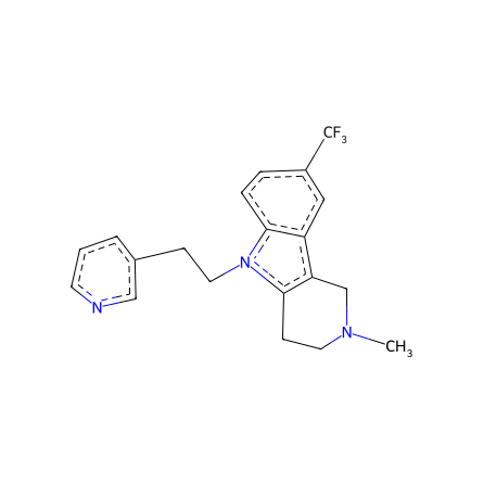 CN1CCc2c(c3cc(C(F)(F)F)ccc3n2CCc2cccnc2)C1